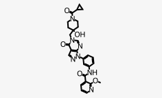 COc1ncccc1C(=O)Nc1cccc(-n2ncc3c(=O)n(CC4(O)CCN(C(=O)C5CC5)CC4)cnc32)c1